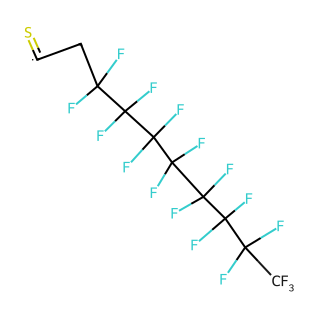 FC(F)(F)C(F)(F)C(F)(F)C(F)(F)C(F)(F)C(F)(F)C(F)(F)C(F)(F)C[C]=S